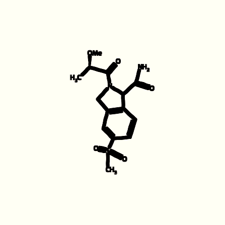 CO[C@H](C)C(=O)N1Cc2cc(S(C)(=O)=O)ccc2C1C(N)=O